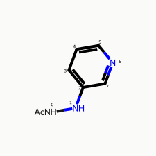 CC(=O)NNc1cccnc1